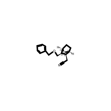 N#CC[C@H]1[C@@H](COCc2ccccc2)[C@H]2CC[C@@H]1O2